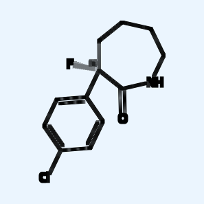 O=C1NCCCC[C@]1(F)c1ccc(Cl)cc1